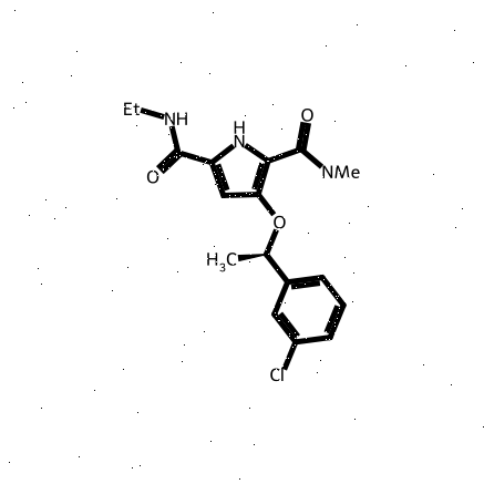 CCNC(=O)c1cc(O[C@H](C)c2cccc(Cl)c2)c(C(=O)NC)[nH]1